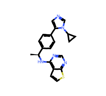 C[C@H](Nc1ncnc2sccc12)c1ccc(-c2cncn2C2CC2)cc1